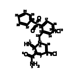 Cl.N=c1c(C(N)=O)cc(Cl)cn1Cc1ccccc1S(=O)(=O)c1ccccc1